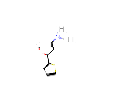 CCOC(=O)OC(CCN(C)C)c1cccs1